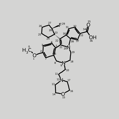 COc1ccc2c(c1)CN(CCN1CCOCC1)CCn1c-2c([C@@H]2CCCC[C@H]2F)c2ccc(C(=O)O)cc21